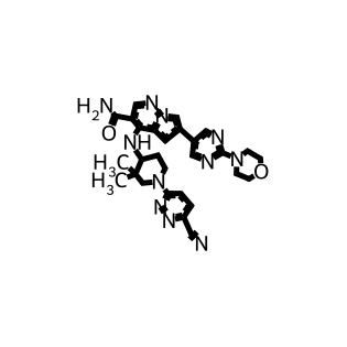 CC1(C)CN(c2ccc(C#N)nn2)CCC1Nc1c(C(N)=O)cnn2cc(-c3cnc(N4CCOCC4)nc3)cc12